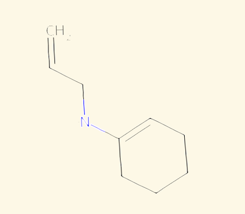 C=CC[N]C1=CCCCC1